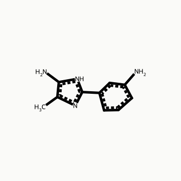 Cc1nc(-c2cccc(N)c2)[nH]c1N